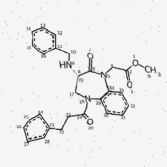 COC(=O)CN1C(=O)[C@@H](NCc2ccccc2)CN(C(=O)CCc2ccccc2)c2ccccc21